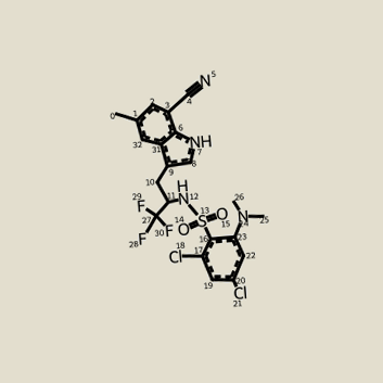 Cc1cc(C#N)c2[nH]cc(CC(NS(=O)(=O)c3c(Cl)cc(Cl)cc3N(C)C)C(F)(F)F)c2c1